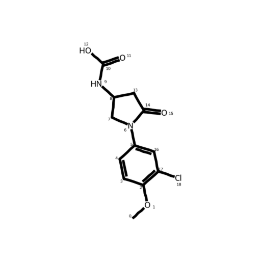 COc1ccc(N2CC(NC(=O)O)CC2=O)cc1Cl